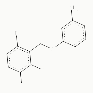 Nc1cccc(OCc2c(F)ccc(F)c2Cl)c1